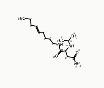 CCCC=CCCCCNC(=O)C(CC(N)=O)NC(C)C